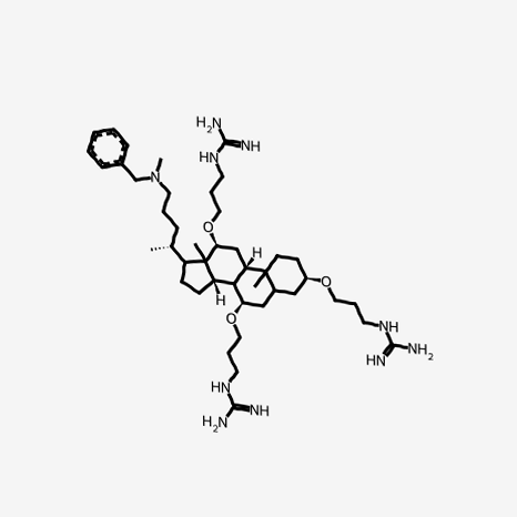 C[C@H](CCCN(C)Cc1ccccc1)C1CC[C@H]2C3[C@H](OCCCNC(=N)N)CC4C[C@H](OCCCNC(=N)N)CCC4(C)[C@H]3C[C@H](OCCCNC(=N)N)C12C